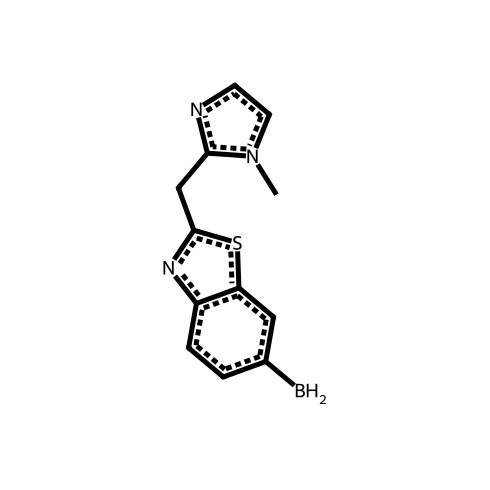 Bc1ccc2nc(Cc3nccn3C)sc2c1